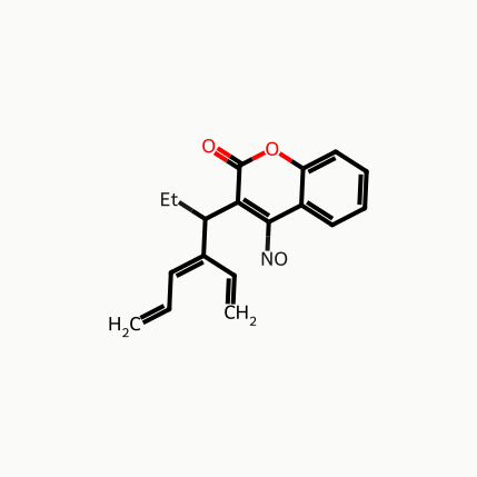 C=C/C=C(\C=C)C(CC)c1c(N=O)c2ccccc2oc1=O